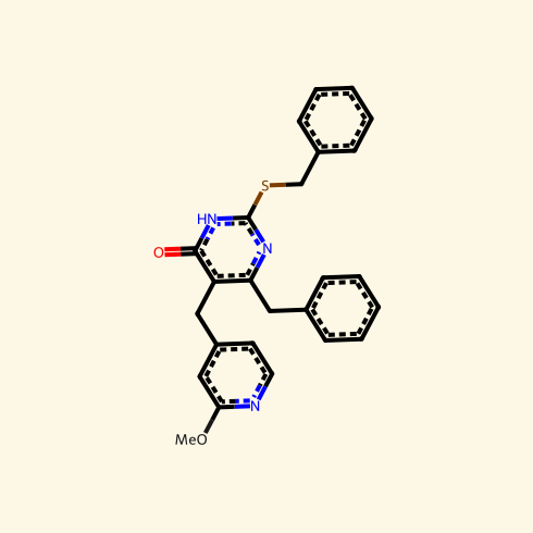 COc1cc(Cc2c(Cc3ccccc3)nc(SCc3ccccc3)[nH]c2=O)ccn1